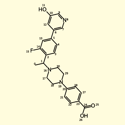 CC(c1ccc(-c2cncc(O)c2)cc1F)N1CCN(c2ccc(C(=O)O)cc2)CC1